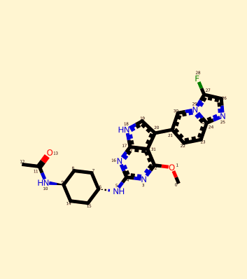 COc1nc(N[C@H]2CC[C@H](NC(C)=O)CC2)nc2[nH]cc(-c3ccc4ncc(F)n4c3)c12